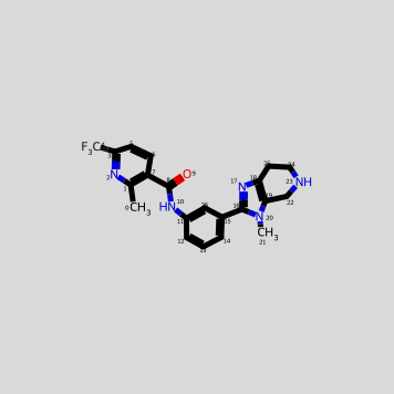 Cc1nc(C(F)(F)F)ccc1C(=O)Nc1cccc(-c2nc3c(n2C)CNCC3)c1